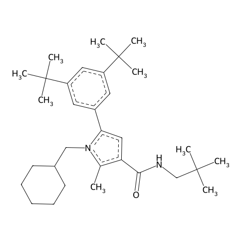 Cc1c(C(=O)NCC(C)(C)C)cc(-c2cc(C(C)(C)C)cc(C(C)(C)C)c2)n1CC1CCCCC1